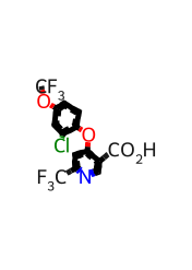 O=C(O)c1cnc(C(F)(F)F)cc1Oc1ccc(OC(F)(F)F)cc1Cl